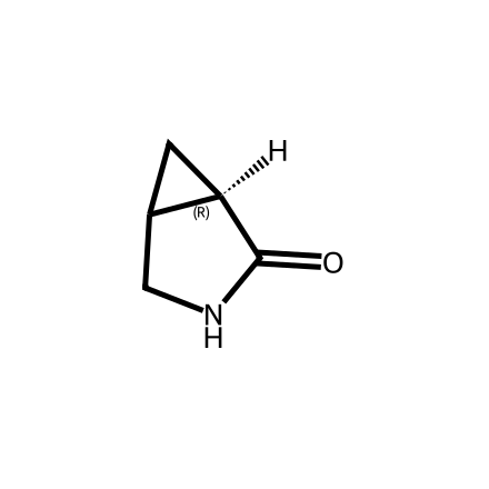 O=C1NCC2C[C@@H]12